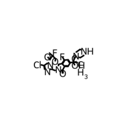 CCC(O)(CN1CCNCC1)c1cc(F)c2c(c1)C(=O)N(Cc1ncc(Cl)cn1)[C@@H]2OCC1(F)COC1